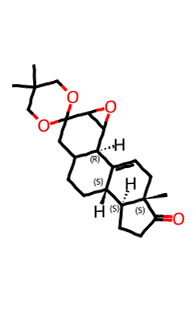 CC1(C)COC2(CC3CC[C@@H]4C(=CC[C@]5(C)C(=O)CC[C@@H]45)[C@@H]3C3OC32)OC1